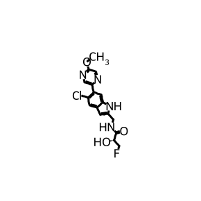 COc1cnc(-c2cc3[nH]c(CNC(=O)[C@@H](O)CF)cc3cc2Cl)cn1